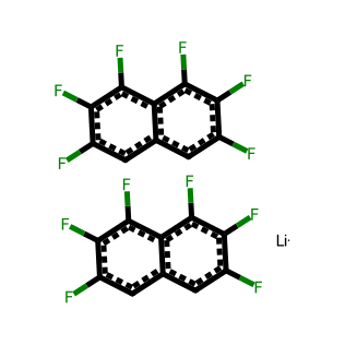 Fc1cc2cc(F)c(F)c(F)c2c(F)c1F.Fc1cc2cc(F)c(F)c(F)c2c(F)c1F.[Li]